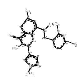 Cc1cc([C@@H](C)Nc2ccc(Cl)nc2C#N)c2oc(-c3cnn(C)c3)c(C)c(=O)c2c1